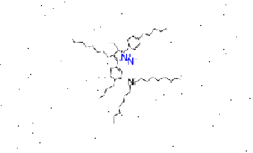 CCCCCCCCC1=C(c2ccc(CCCC)cc2)[N+](=[N-])C(c2ccc(CCCCC)cc2)=C1CC.CCCCCCC[CH2][Ni][CH2]CCCCCCC